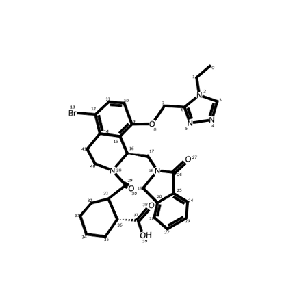 CCn1cnnc1COc1ccc(Br)c2c1[C@@H](CN1Cc3ccccc3C1=O)N(C(=O)C1CCCC[C@H]1C(=O)O)CC2